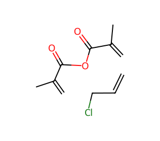 C=C(C)C(=O)OC(=O)C(=C)C.C=CCCl